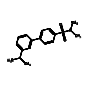 CC(C)c1cccc(-c2ccc(S(=O)(=O)N(C)C)cc2)c1